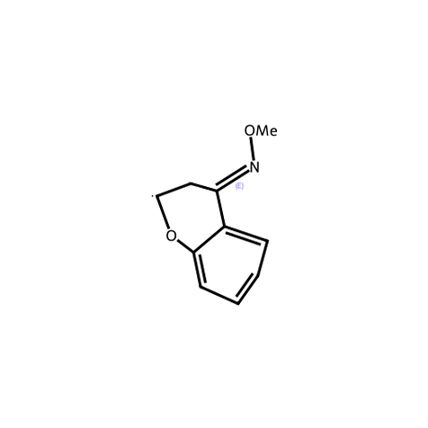 CO/N=C1\C[CH]Oc2ccccc21